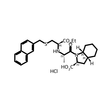 CCOC(=O)[C@H](CSCc1ccc2ccccc2c1)N[C@@H](C)C(=O)N1[C@@H]2CCCC[C@@H]2C[C@H]1C(=O)O.Cl